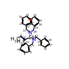 C/C=C(\C)[SiH](N(Cc1ccccc1)Cc1ccccc1)N(Cc1ccccc1)Cc1ccccc1